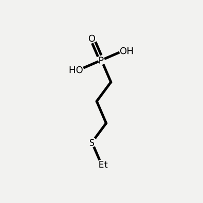 CCSCCCP(=O)(O)O